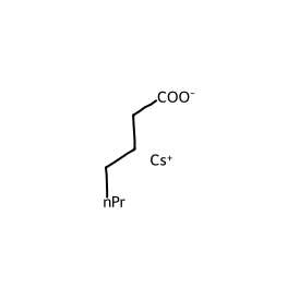 CCCCCCC(=O)[O-].[Cs+]